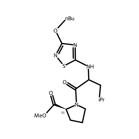 CCCCOc1nsc(NC(CC(C)C)C(=O)N2CCC[C@H]2C(=O)OC)n1